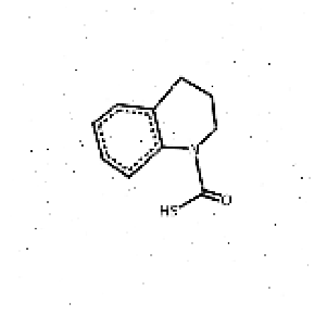 O=C(S)N1CCCc2ccccc21